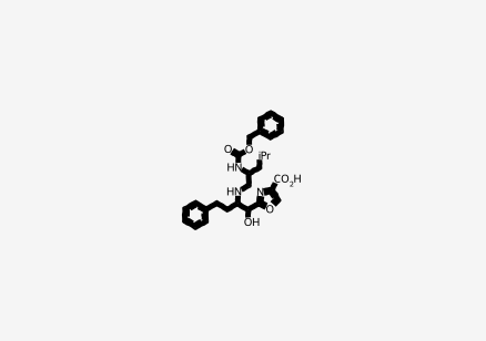 CC(C)CC(CNC(CCc1ccccc1)C(O)c1nc(C(=O)O)co1)NC(=O)OCc1ccccc1